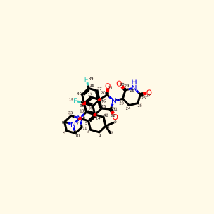 CC1(C)CCC(CN2C3CC2CN(c2cc4c(cc2F)C(=O)N(C2CCC(=O)NC2=O)C4=O)C3)=C(c2ccc(F)cc2)C1